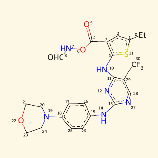 CCc1cc(C(=O)ONC=O)c(Nc2nc(Nc3ccc(N4CCOCC4)cc3)ncc2C(F)(F)F)s1